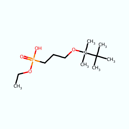 CCOP(=O)(O)CCCO[Si](C)(C)C(C)(C)C